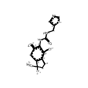 O=C(NCc1cncs1)Nc1c(Cl)cc2c(c1Cl)CCC2(O)C(F)(F)F